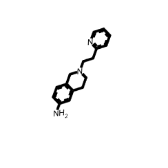 Nc1ccc2c(c1)CCN(CCc1ccccn1)C2